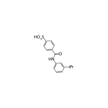 CC(C)c1cccc(NC(=O)c2ccc(S(=O)(=O)O)cc2)c1